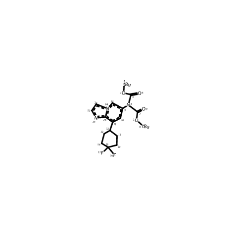 CC(C)(C)OC(=O)N(C(=O)OC(C)(C)C)c1cc(C2CCC(F)(F)CC2)c2nccn2c1